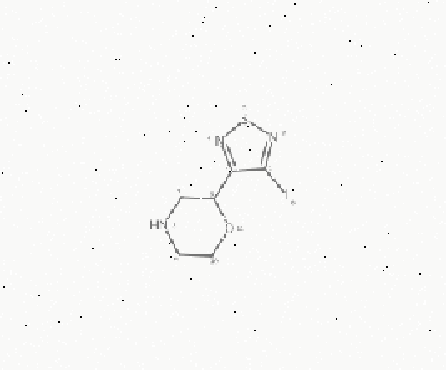 Ic1nsnc1C1CNCCO1